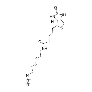 [N-]=[N+]=NCCSSCCNC(=O)CCCC[C@@H]1SCC2NC(=O)N[C@@H]21